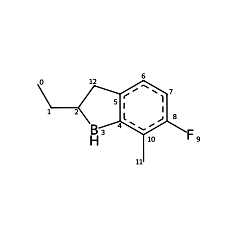 CCC1Bc2c(ccc(F)c2C)C1